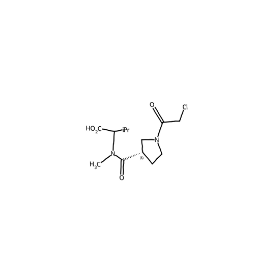 CC(C)C(C(=O)O)N(C)C(=O)[C@H]1CCN(C(=O)CCl)C1